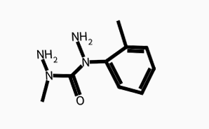 Cc1ccccc1N(N)C(=O)N(C)N